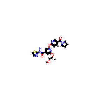 COC[C@@H](C)Oc1cc(C(=O)Nc2nccs2)cc(Oc2ccc(C(=O)N3CCCC3)cn2)n1